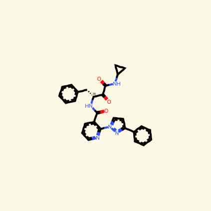 O=C(NC1CC1)C(=O)[C@@H](Cc1ccccc1)NC(=O)c1cccnc1-n1ccc(-c2ccccc2)n1